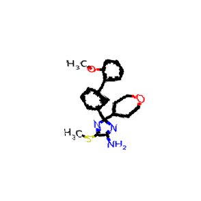 COc1ccccc1-c1cccc(C2(C3CCOCC3)N=C(N)C(SC)=N2)c1